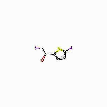 O=C(CI)c1ccc(I)s1